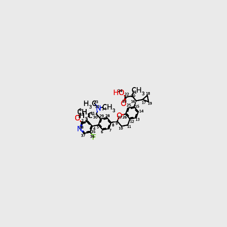 COc1cc(-c2ccc([C@@H]3CCc4ccc([C@H](C5CC5)[C@H](C)C(=O)O)cc4O3)cc2[C@H](C)N(C)C)c(F)cn1